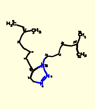 CC(C)CCCC1CN=NN1CCCC(C)C